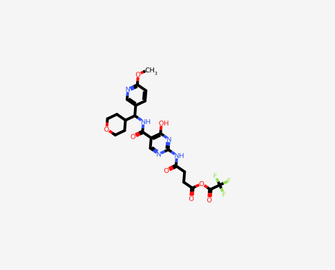 COc1ccc(C(NC(=O)c2cnc(NC(=O)CCC(=O)OC(=O)C(F)(F)F)nc2O)C2CCOCC2)cn1